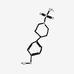 COc1ccc(C2CCN(S(C)(=O)=O)CC2)cc1